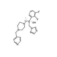 C[C@@H](N1CCN(Cc2ccncc2)CC1)[C@](O)(Cn1cncn1)c1cccc(F)c1F